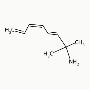 C=C/C=C\C=C\C(C)(C)N